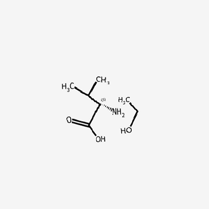 CC(C)[C@H](N)C(=O)O.CCO